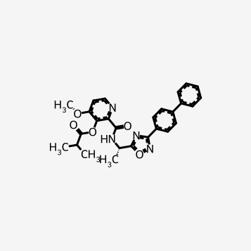 COc1ccnc(C(=O)N[C@@H](C)c2nc(-c3ccc(-c4ccccc4)cc3)no2)c1OC(=O)C(C)C